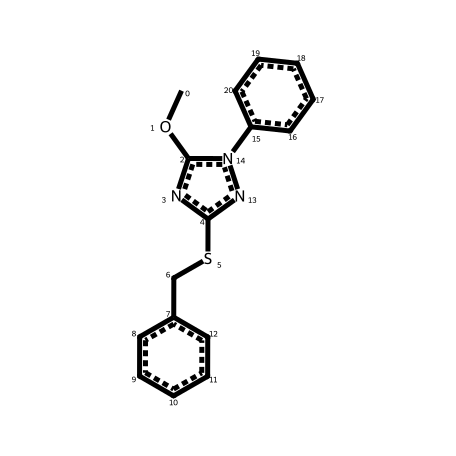 COc1nc(SCc2ccccc2)nn1-c1ccccc1